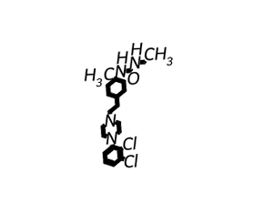 CCNC(=O)NC1(C)CCC(CCN2CCN(c3cccc(Cl)c3Cl)CC2)CC1